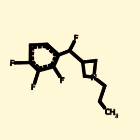 CCCN1CC(C(F)c2ccc(F)c(F)c2F)C1